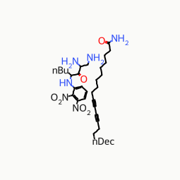 CCCCC(Nc1cccc([N+](=O)[O-])c1[N+](=O)[O-])C(=O)C(N)CN.CCCCCCCCCCCCC#CC#CCCCCCCCCC(N)=O